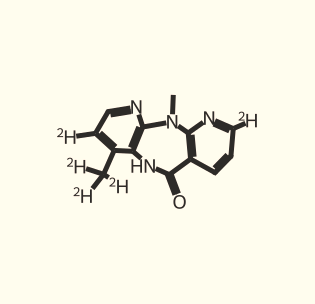 [2H]c1ccc2c(n1)N(C)c1ncc([2H])c(C([2H])([2H])[2H])c1NC2=O